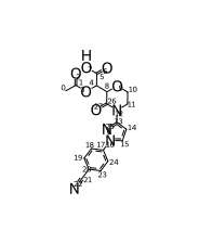 CC(=O)OC(C(=O)O)C1OCCN(c2ccn(-c3ccc(C#N)cc3)n2)C1=O